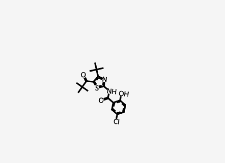 CC(C)(C)C(=O)c1sc(NC(=O)c2cc(Cl)ccc2O)nc1C(C)(C)C